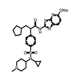 COc1ccc2nc(NC(=O)C(CC3CCCC3)c3ccc(S(=O)(=O)N(C4CC4)C4CCN(C)CC4)cc3)sc2n1